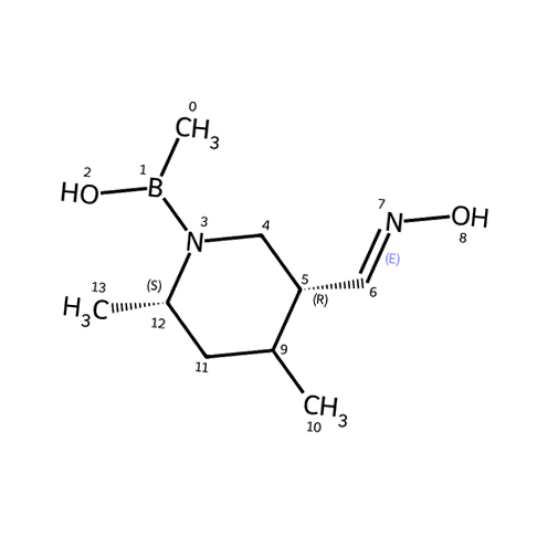 CB(O)N1C[C@H](/C=N/O)C(C)C[C@@H]1C